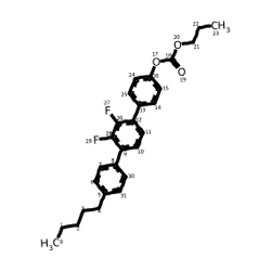 CCCCCc1ccc(-c2ccc(-c3ccc(OC(=O)OCCC)cc3)c(F)c2F)cc1